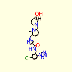 CC1=C(Cn2cc(C(=O)NCc3cc(Cl)ccc3-n3cnnn3)cn2)C=CCC(CN2CCCC3[C@@H](O)[C@@H]3C2)=N1